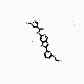 CC(C)n1cc(C(=O)Nc2cc3[nH]c(-c4ccnc(OCC(F)(F)F)n4)cc3cn2)cn1